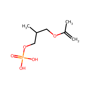 C=C(C)OCC(C)COP(=O)(O)O